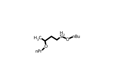 CCCCO[SiH2]CCC(C)OCCC